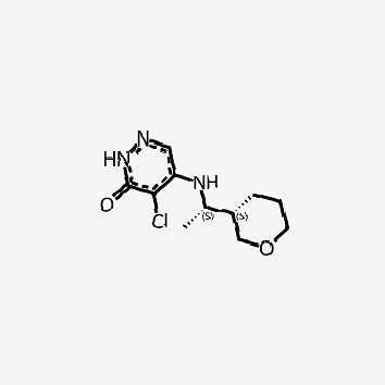 C[C@H](Nc1cn[nH]c(=O)c1Cl)[C@@H]1CCCOC1